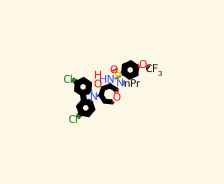 CCCN=S(=O)(N[C@H]1COCC[C@@H](n2c3ccc(Cl)cc3c3cc(Cl)ccc32)[C@H]1O)c1ccc(OC(F)(F)F)cc1